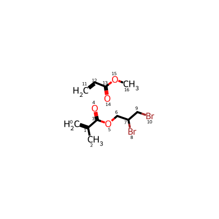 C=C(C)C(=O)OCC(Br)CBr.C=CC(=O)OC